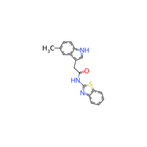 Cc1ccc2[nH]cc(CC(=O)Nc3nc4ccccc4s3)c2c1